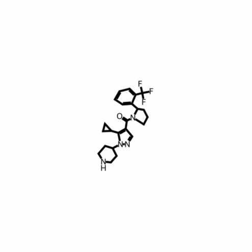 O=C(c1cnn(C2CCNCC2)c1C1CC1)N1CCCC1c1ccccc1C(F)(F)F